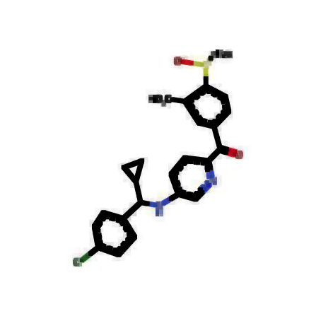 CCCCCC[S+]([O-])c1ccc(C(=O)c2ccc(NC(c3ccc(Cl)cc3)C3CC3)cn2)cc1C(=O)O